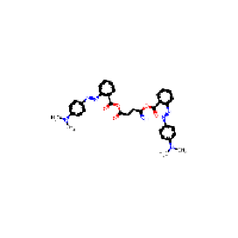 CN(C)c1ccc(/N=N/c2ccccc2C(=O)OC(=N)CCC(=O)OC(=O)c2ccccc2/N=N/c2ccc(N(C)C)cc2)cc1